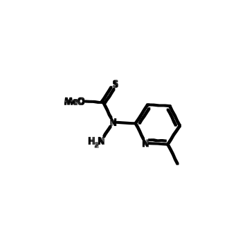 COC(=S)N(N)c1cccc(C)n1